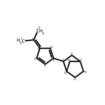 CC(C)=C1C=CC(C2CC3CCC2C3)=C1